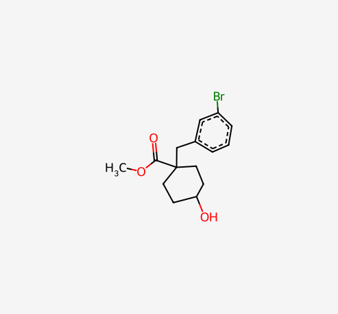 COC(=O)C1(Cc2cccc(Br)c2)CCC(O)CC1